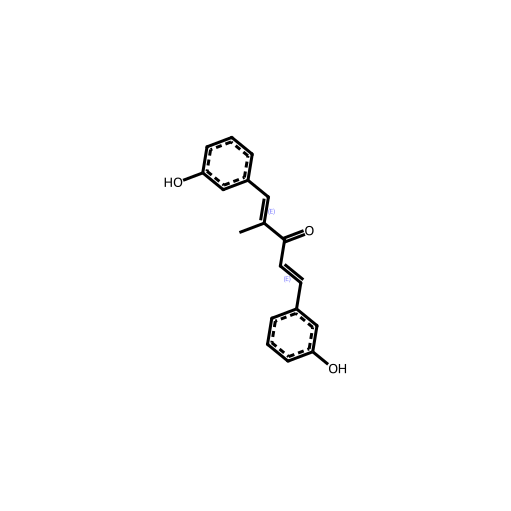 C/C(=C\c1cccc(O)c1)C(=O)/C=C/c1cccc(O)c1